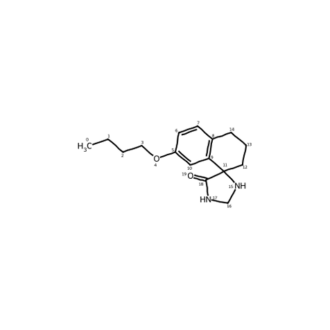 CCCCOc1ccc2c(c1)C1(CCC2)NCNC1=O